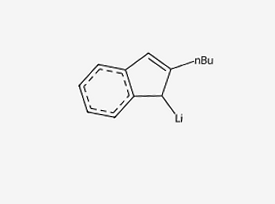 [Li][CH]1C(CCCC)=Cc2ccccc21